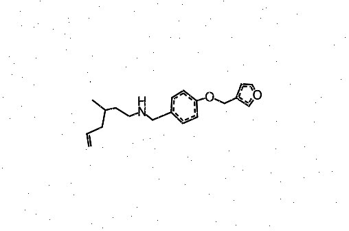 C=CCC(C)CCNCc1ccc(OCc2ccoc2)cc1